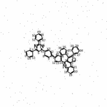 c1ccc(-c2cc(-c3ccc(-c4ccc(-c5nc6ccccc6c6oc(-c7ccccc7)c(-c7ccccc7)c56)cc4)cc3)nc(-c3ccccc3)n2)cc1